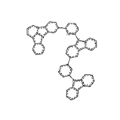 c1cc(-c2ccc3c(c2)c2ccccc2n3-c2cccc(-c3ccc4c5cccc6c7ccccc7n(c4c3)c65)n2)cc(-n2c3ccccc3c3ccccc32)c1